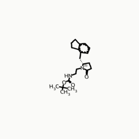 CC(C)(C)OC(=O)NCCN1C(=O)CC[C@H]1Cc1cccc2c1CCC2